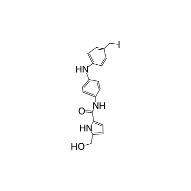 O=C(Nc1ccc(Nc2ccc(CI)cc2)cc1)c1ccc(CO)[nH]1